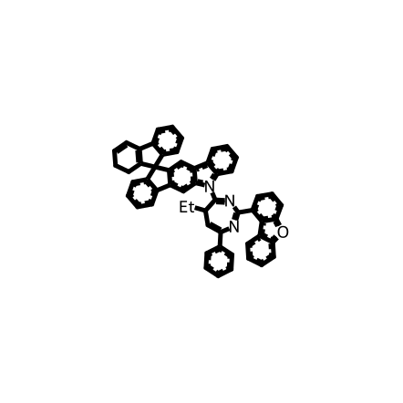 CCC1C=C(c2ccccc2)N=C(c2cccc3oc4ccccc4c23)N=C1n1c2ccccc2c2cc3c(cc21)-c1ccccc1C31C2=C(C=CCC2)c2ccccc21